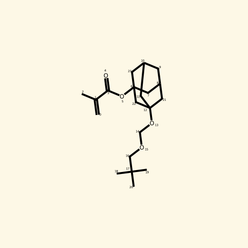 C=C(C)C(=O)OC12CC3CC(CC(OCOCC(C)(C)C)(C3)C1)C2